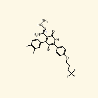 Cc1ccc(-c2c(Br)c(-c3ccc(OCCCC(F)(F)F)cc3)[nH]c(=O)c2/C(N)=N/NN)cc1C